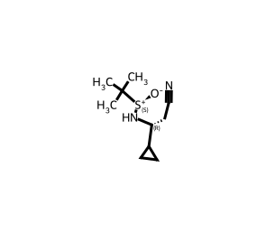 CC(C)(C)[S@@+]([O-])N[C@H](CC#N)C1CC1